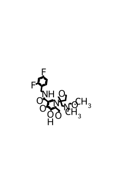 COCN(C)CC1(n2cc(C(=O)NCc3ccc(F)cc3F)c(=O)c(O)c2C=O)CCOC1